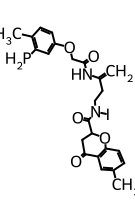 C=C(CCN(I)C(=O)C1CC(=O)c2cc(C)ccc2O1)NC(=O)COc1ccc(C)c(P)c1